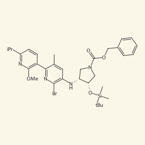 COc1nc(C(C)C)ccc1-c1nc(Br)c(N[C@@H]2CN(C(=O)OCc3ccccc3)C[C@@H]2O[Si](C)(C)C(C)(C)C)cc1C